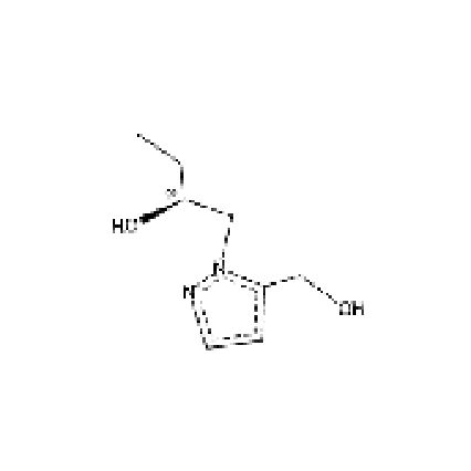 CC[C@H](O)Cn1nccc1CO